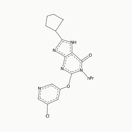 CCCn1c(Oc2cncc(Cl)c2)nc2nc(C3CCCC3)[nH]c2c1=O